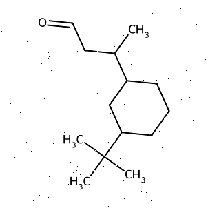 CC(CC=O)C1CCCC(C(C)(C)C)C1